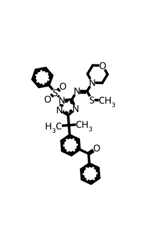 CS/C(=N\c1nc(C(C)(C)c2cccc(C(=O)c3ccccc3)c2)nn1S(=O)(=O)c1ccccc1)N1CCOCC1